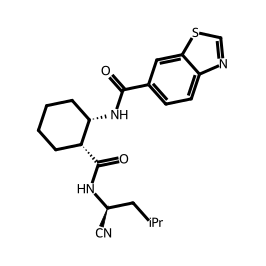 CC(C)C[C@@H](C#N)NC(=O)[C@@H]1CCCC[C@@H]1NC(=O)c1ccc2ncsc2c1